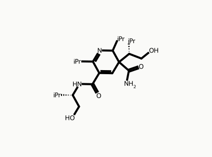 CC(C)C1=NC(C(C)C)C(C(N)=O)([C@@H](CO)C(C)C)C=C1C(=O)N[C@H](CO)C(C)C